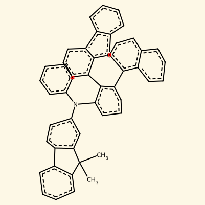 CC1(C)c2ccccc2-c2ccc(N(c3ccccc3)c3cccc(-c4cccc5ccccc45)c3-c3cccc4c3oc3ccccc34)cc21